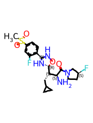 CS(=O)(=O)c1ccc([C@H]2NO[C@H]([C@@H](CC3CC3)[C@H](N)C(=O)N3CC[C@H](F)C3)N2)c(F)c1